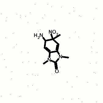 Cn1c2c(n(C)c1=O)=CC(C)([N+](=O)[O-])C(N)C=2